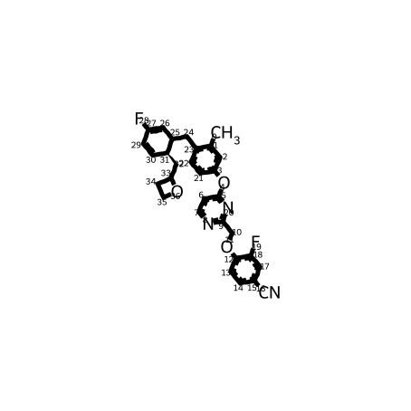 Cc1cc(Oc2ccnc(COc3ccc(C#N)cc3F)n2)ccc1CC1C=C(F)C=C[C@@H]1CC1CCO1